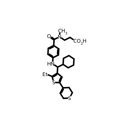 CCc1sc(C2=CCSCC2)cc1C(Nc1ccc(C(=O)N(C)CCC(=O)O)cc1)C1CCCCC1